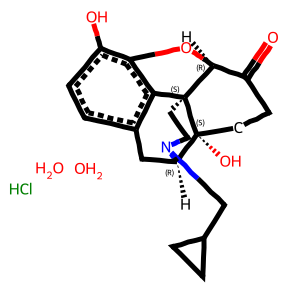 Cl.O.O.O=C1CC[C@@]2(O)[C@H]3Cc4ccc(O)c5c4[C@@]2(CCN3CC2CC2)[C@H]1O5